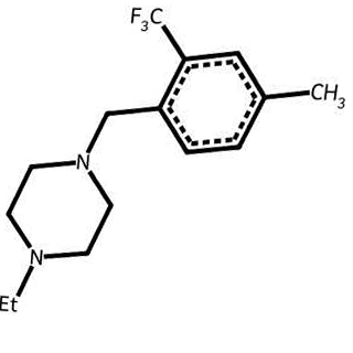 CCN1CCN(Cc2ccc(C)cc2C(F)(F)F)CC1